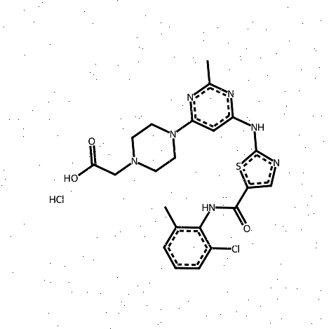 Cc1nc(Nc2ncc(C(=O)Nc3c(C)cccc3Cl)s2)cc(N2CCN(CC(=O)O)CC2)n1.Cl